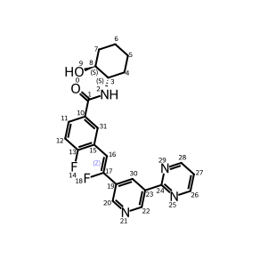 O=C(N[C@H]1CCCC[C@@H]1O)c1ccc(F)c(/C=C(\F)c2cncc(-c3ncccn3)c2)c1